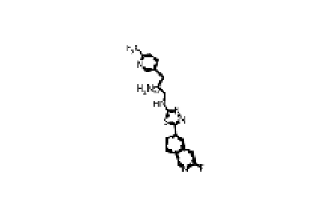 N[C@H](CNc1nnc(-c2ccc3cnc(F)cc3c2)s1)Cc1ccc(C(F)(F)F)nc1